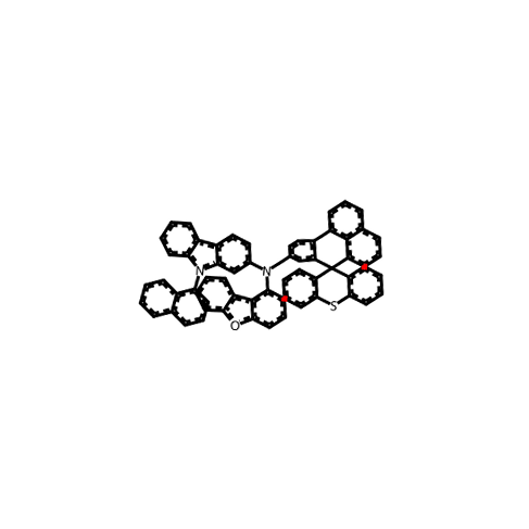 c1ccc2c(c1)Sc1ccccc1C21c2cc(N(c3ccc4c5ccccc5n(-c5cccc6ccccc56)c4c3)c3cccc4oc5ccccc5c34)ccc2-c2cccc3cccc1c23